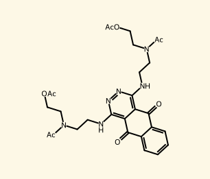 CC(=O)OCCN(CCNc1nnc(NCCN(CCOC(C)=O)C(C)=O)c2c1C(=O)c1ccccc1C2=O)C(C)=O